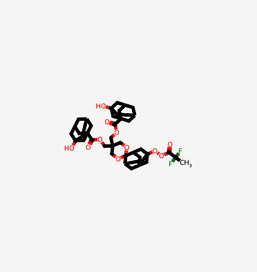 CC(F)(F)C(=O)OOC12CC3CC(C1)C1(OCC(COC(=O)C45CC6CC(CC(O)(C6)C4)C5)(COC(=O)C45CC6CC(CC(O)(C6)C4)C5)CO1)C(C3)C2